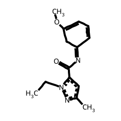 CCn1nc(C)cc1C(=O)N=C1C=CC=C(OC)C1